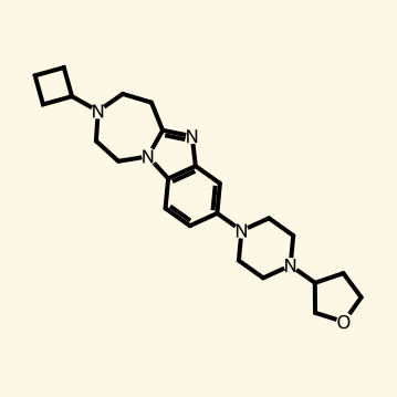 c1cc2c(cc1N1CCN(C3CCOC3)CC1)nc1n2CCN(C2CCC2)CC1